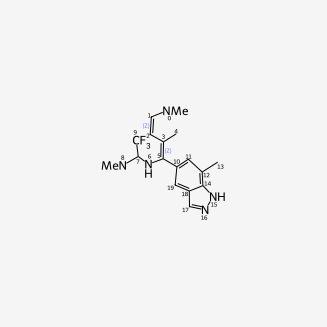 CN/C=C\C(C)=C(/NC(NC)C(F)(F)F)c1cc(C)c2[nH]ncc2c1